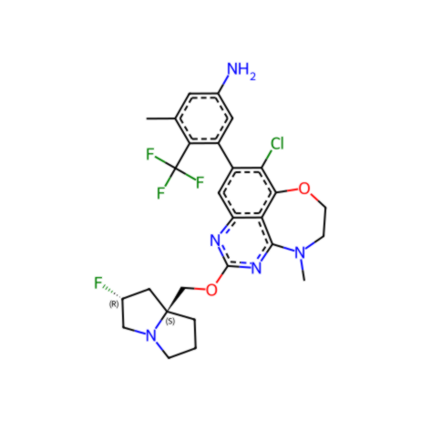 Cc1cc(N)cc(-c2cc3nc(OC[C@@]45CCCN4C[C@H](F)C5)nc4c3c(c2Cl)OCCN4C)c1C(F)(F)F